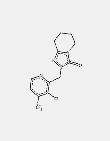 O=c1n(Cc2nccc(C(F)(F)F)c2Cl)nc2n1CCCC2